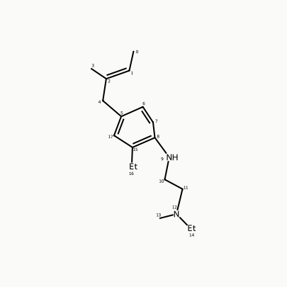 CC=C(C)Cc1ccc(NCCN(C)CC)c(CC)c1